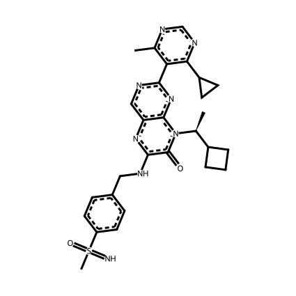 Cc1ncnc(C2CC2)c1-c1ncc2nc(NCc3ccc(S(C)(=N)=O)cc3)c(=O)n([C@@H](C)C3CCC3)c2n1